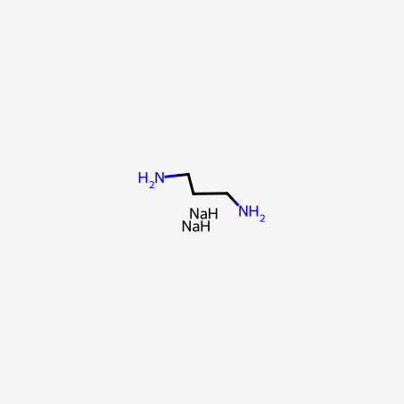 NCCCN.[NaH].[NaH]